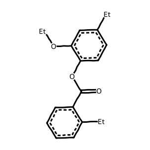 CCOc1cc(CC)ccc1OC(=O)c1ccccc1CC